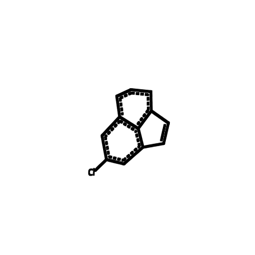 Clc1cc2c3c(cccc3c1)C=C2